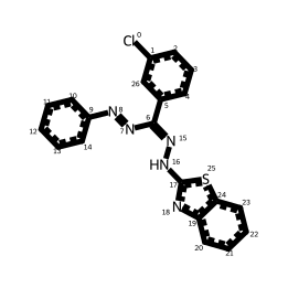 Clc1cccc(C(N=Nc2ccccc2)=NNc2nc3ccccc3s2)c1